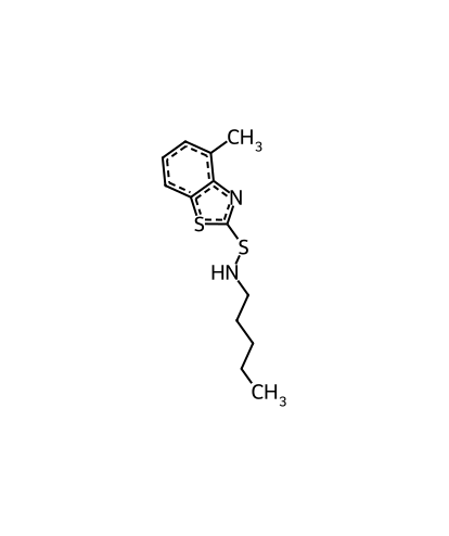 CCCCCNSc1nc2c(C)cccc2s1